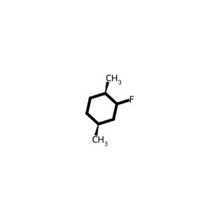 C[C@H]1CC[C@@H](C)C(F)C1